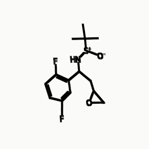 CC(C)(C)[S+]([O-])NC(CC1CO1)c1cc(F)ccc1F